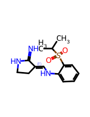 CC(C)S(=O)(=O)c1ccccc1N/C=C1\CCNC1=N